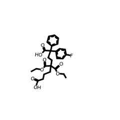 CCOC(=O)C(CCCC(=O)O)(CCC(C(=O)O)(c1ccccc1)c1ccc(F)cc1)C(=O)OCC